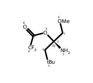 COC[C@](N)(CC(C)(C)C)OC(=O)C(F)(F)F